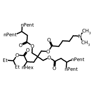 CCCCCCC(CC(COC(=O)CCCCN(C)C)(COC(=O)CC(CCCCC)CCCCC)COC(=O)CC(CCCCC)CCCCC)C(=O)OC(CC)CC